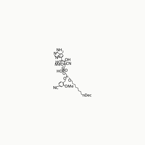 CCCCCCCCCCCCCCCCCCOC[C@@H](COP(=O)(O)OC[C@@](C#N)(OC)[C@@H](O)[C@@H](O)c1ccc2c(N)ncnn12)OCc1ccc(C#N)cc1OC